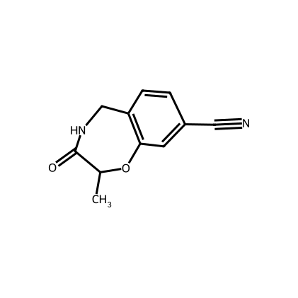 CC1Oc2cc(C#N)ccc2CNC1=O